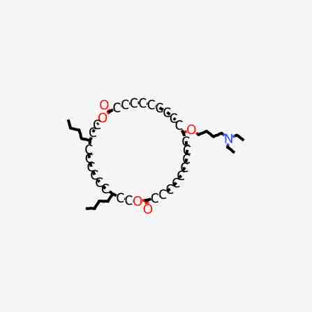 CCCCC1CCCCCCC(CCCC)CCOC(=O)CCCCCCCCCC(OCCCCN(CC)CC)CCCCCCCCCC(=O)OCC1